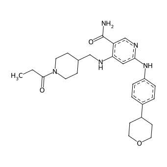 CCC(=O)N1CCC(CNc2cc(Nc3ccc(C4CCOCC4)cc3)ncc2C(N)=O)CC1